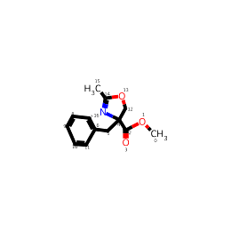 COC(=O)C1(Cc2ccccc2)COC(C)=N1